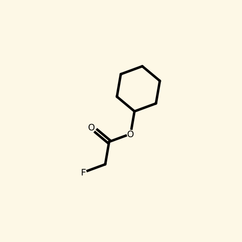 O=C(CF)OC1CCCCC1